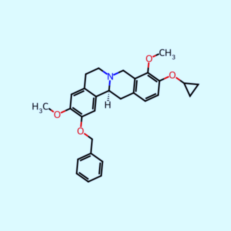 COc1cc2c(cc1OCc1ccccc1)[C@@H]1Cc3ccc(OC4CC4)c(OC)c3CN1CC2